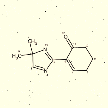 CC1(C)C=NC(C2=CCCCC2=O)=N1